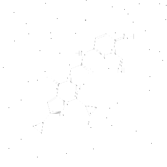 N=Cn1nc(NC(=O)Cn2nc(C3CC3)n3nc(C4CC4)cc3c2=O)ccc1=N